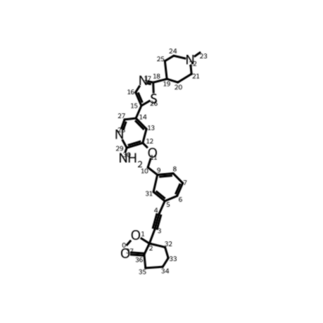 COC1(C#Cc2cccc(COc3cc(-c4cnc(C5CCN(C)CC5)s4)cnc3N)c2)CCCCC1=O